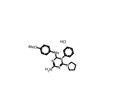 COc1ccc(NC2N=C(N)N=C(N3CCCC3)N2c2ccccc2)cc1.Cl